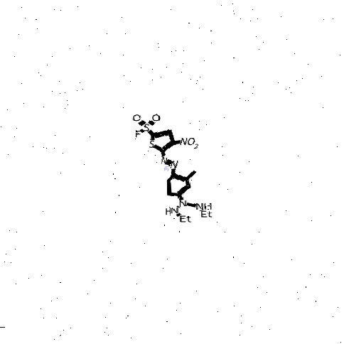 CCNN(NCC)c1ccc(/N=N/c2sc(S(=O)(=O)F)cc2[N+](=O)[O-])c(C)c1